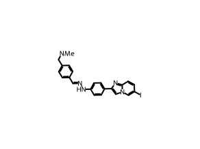 CNCc1ccc(C=NNc2ccc(-c3cn4cc(I)ccc4n3)cc2)cc1